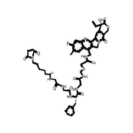 CC[C@@]1(O)C(=O)OCc2c1cc1n(c2=O)Cc2c-1nc1cc(F)c(C)cc1c2CNC(=O)CSCNC(=O)CNC(=O)[C@H](Cc1ccccc1)NC(=O)CNC(=O)CNC(=O)CCCCCN1C(=O)C=CC1=O